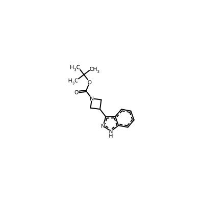 CC(C)(C)OC(=O)N1CC(c2n[nH]c3ccccc23)C1